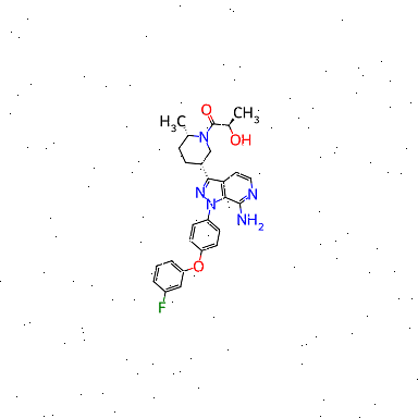 C[C@@H](O)C(=O)N1C[C@H](c2nn(-c3ccc(Oc4cccc(F)c4)cc3)c3c(N)nccc23)CC[C@@H]1C